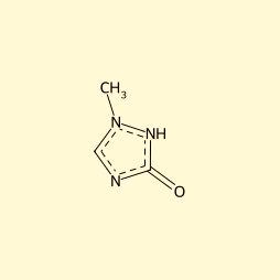 Cn1cnc(=O)[nH]1